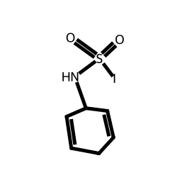 O=S(=O)(I)NC1C=CCC=C1